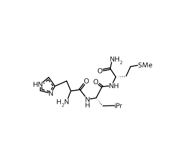 CSCC[C@H](NC(=O)[C@H](CC(C)C)NC(=O)C(N)Cc1c[nH]cn1)C(N)=O